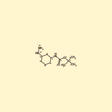 CC(C)(C)OC(=O)NC1CCCC(NN)C1